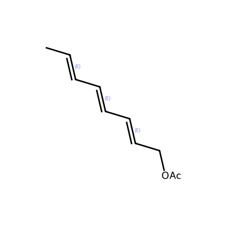 C/C=C/C=C/C=C/COC(C)=O